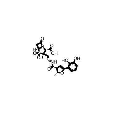 C[C@H]1OC(c2cccc(O)c2O)=C[C@@H]1C(=O)N/N=C/[C@@]1(C)[C@H](C(=O)O)N2C(=O)C[C@H]2S1(=O)=O